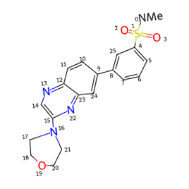 CNS(=O)(=O)c1cccc(-c2ccc3ncc(N4CCOCC4)nc3c2)c1